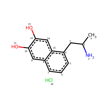 CC(N)Cc1cccc2cc(O)c(O)cc12.Cl